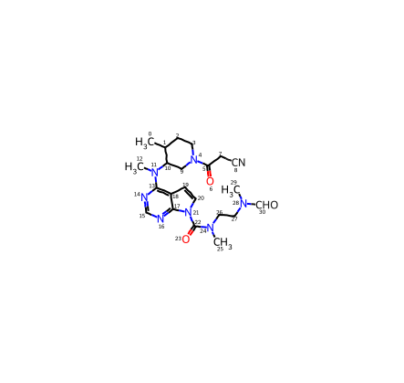 CC1CCN(C(=O)CC#N)CC1N(C)c1ncnc2c1ccn2C(=O)N(C)CCN(C)C=O